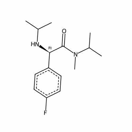 CC(C)N[C@@H](C(=O)N(C)C(C)C)c1ccc(F)cc1